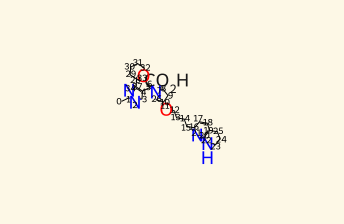 Cc1ncc([C@H](C(=O)O)N2CC[C@@H](OCCCCc3ccc4c(n3)NCCC4)C2)c(C2CCCCO2)n1